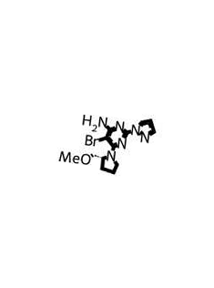 COC[C@H]1CCCN1c1nc(-n2cccn2)nc(N)c1Br